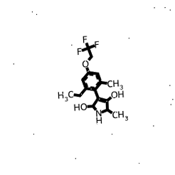 CCc1cc(OCC(F)(F)F)cc(C)c1C1=C(O)C(C)NC1O